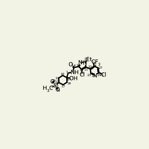 CCn1nc(C(=O)NCC2(O)CCC(S(C)(=O)=O)CC2)c(Cl)c1-c1cnc(Cl)cc1C(F)(F)F